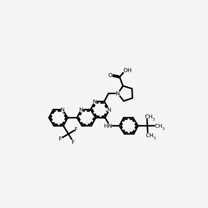 CC(C)(C)c1ccc(Nc2nc(CN3CCCC3C(=O)O)nc3nc(-c4ncccc4C(F)(F)F)ccc23)cc1